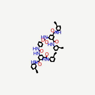 C#Cc1cccc(NC(=O)c2cc(NC(=O)Nc3ccc(OC(=O)Nc4cc(C(=O)Nc5cccc(C#C)c5)cc(C(=O)Nc5cccc(C#C)c5)c4)cc3)cc(C(=O)Nc3cccc(C#C)c3)c2)c1